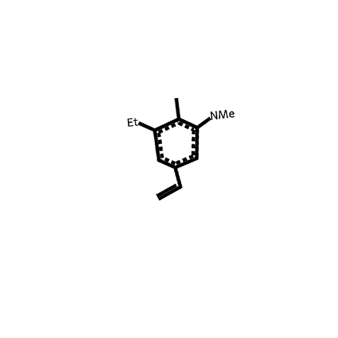 C=Cc1cc(CC)c(C)c(NC)c1